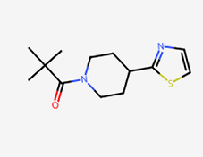 CC(C)(C)C(=O)N1CCC(c2nccs2)CC1